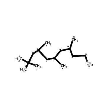 [CH2]C(C)(C)CC(C)CC(C)CC(C)CCC